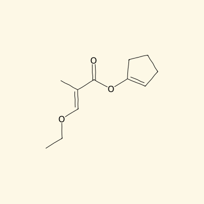 CCOC=C(C)C(=O)OC1=CCCC1